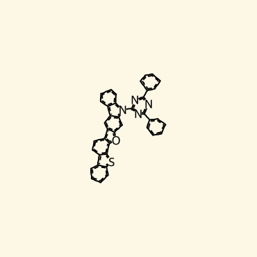 c1ccc(-c2nc(-c3ccccc3)nc(-n3c4ccccc4c4cc5c(cc43)oc3c5ccc4c5ccccc5sc43)n2)cc1